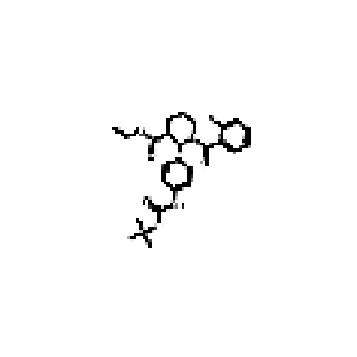 CCOC(=O)C1CCCN(C(=O)c2ccccc2C)C1[C@@H]1C=CC(NC(=O)OC(C)(C)C)=CC1